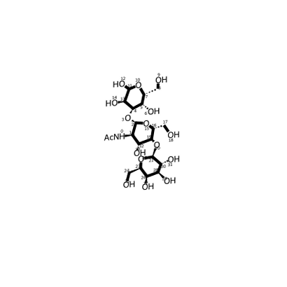 CC(=O)N[C@H]1[C@H](O[C@H]2[C@@H](O)[C@@H](CO)OC(O)[C@@H]2O)O[C@H](CO)[C@@H](O[C@@H]2O[C@H](CO)[C@H](O)[C@H](O)[C@H]2O)[C@@H]1O